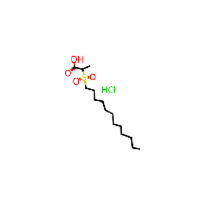 CCCCCCCCCCCCS(=O)(=O)C(C)C(=O)O.Cl